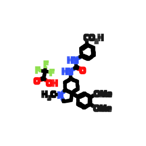 COc1ccc(C23CCC(NC(=O)Nc4cccc(C(=O)O)c4)CC2N(C)CC3)cc1OC.O=C(O)C(F)(F)F